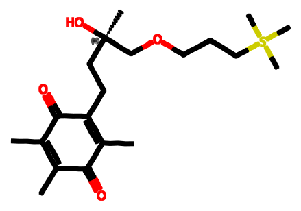 CC1=C(C)C(=O)C(CC[C@@](C)(O)COCCCS(C)(C)C)=C(C)C1=O